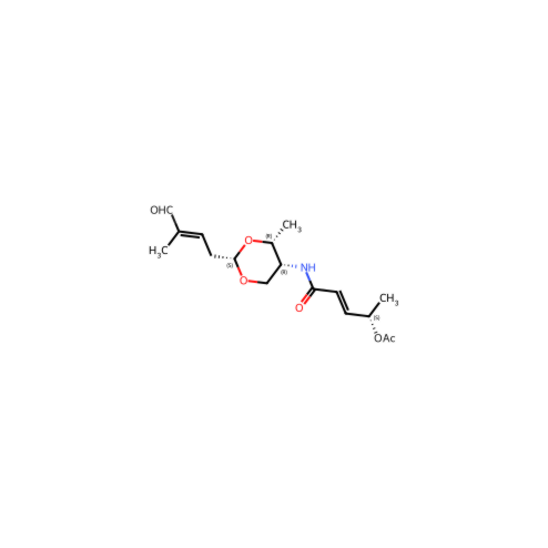 CC(=O)O[C@@H](C)C=CC(=O)N[C@@H]1CO[C@H](CC=C(C)C=O)O[C@@H]1C